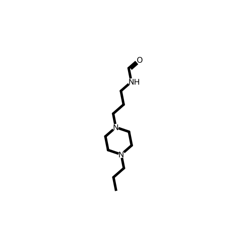 CCCN1CCN(CCCNC=O)CC1